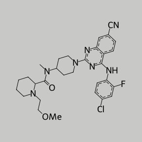 COCCN1CCCCC1C(=O)N(C)C1CCN(c2nc(Nc3ccc(Cl)cc3F)c3ccc(C#N)cc3n2)CC1